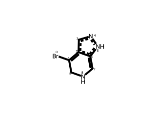 BrC1=c2cn[nH]c2=CNC1